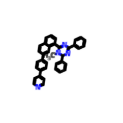 CN1C(c2cccc3ccc(-c4ccc(-c5ccncc5)cc4)cc23)=NC(c2ccccc2)=NC1c1ccccc1